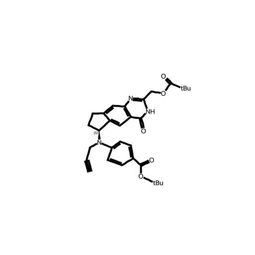 C#CCN(c1ccc(C(=O)OC(C)(C)C)cc1)[C@H]1CCc2cc3nc(COC(=O)C(C)(C)C)[nH]c(=O)c3cc21